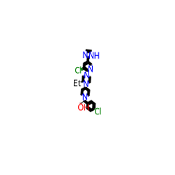 CC[C@H]1CN(c2ncc(-c3ncc[nH]3)cc2Cl)CCN1C1CCN([C@@H](CO)c2ccc(Cl)cc2)CC1